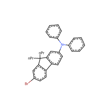 CCCC1(CCC)c2cc(Br)ccc2-c2ccc(N(c3ccccc3)c3ccccc3)cc21